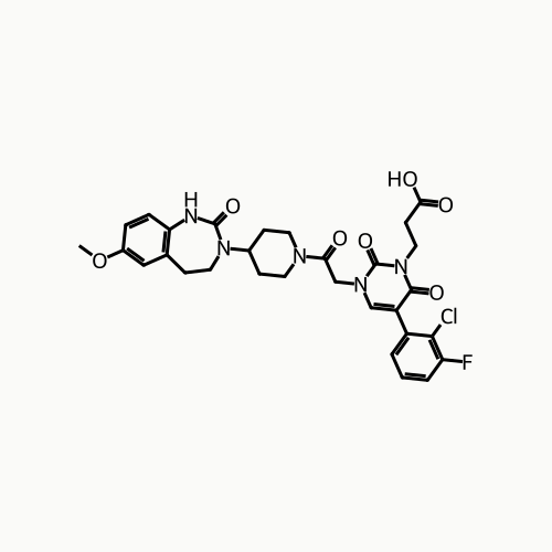 COc1ccc2c(c1)CCN(C1CCN(C(=O)Cn3cc(-c4cccc(F)c4Cl)c(=O)n(CCC(=O)O)c3=O)CC1)C(=O)N2